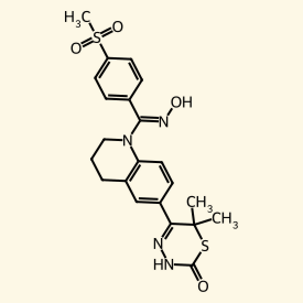 CC1(C)SC(=O)NN=C1c1ccc2c(c1)CCCN2C(=NO)c1ccc(S(C)(=O)=O)cc1